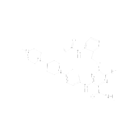 C=CC(=O)Nc1ccccc1COc1nc(Nc2ccc(N3CCC(N4CCN(C)CC4)CC3)cc2)c(C(N)=O)nc1CC